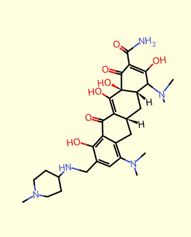 CN1CCC(NCc2cc(N(C)C)c3c(c2O)C(=O)C2=C(O)[C@]4(O)C(=O)C(C(N)=O)=C(O)C(N(C)C)[C@@H]4C[C@@H]2C3)CC1